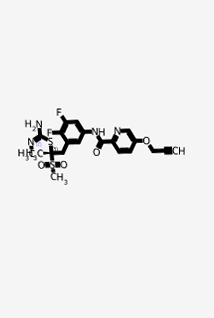 C#CCOc1ccc(C(=O)Nc2cc(F)c(F)c(C[C@@](C)(S/C(N)=N\C)S(C)(=O)=O)c2)nc1